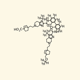 [2H]c1c([2H])c(NC(=O)c2nc3c(n2C([2H])([2H])[2H])CCN(CCC24CCC(COC([2H])([2H])[2H])(CC2)C4)C3)c(Cl)c(-c2c([2H])c([2H])c([2H])c(NC(=O)c3nc4c(n3C([2H])([2H])[2H])CCN(CCC35CCC(C(=O)O)(CC3)C5)C4)c2Cl)c1[2H]